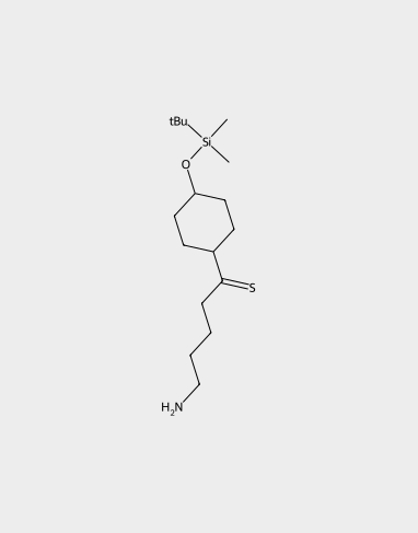 CC(C)(C)[Si](C)(C)OC1CCC(C(=S)CCCCN)CC1